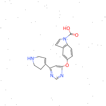 O=C(O)n1ccc2cc(Oc3cc(C4=CCNCC4)ncn3)ccc21